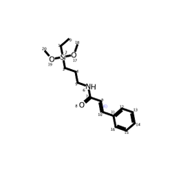 CC[Si](CCCNC(=O)/C=C/c1ccccc1)(OC)OC